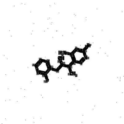 CN(c1cnc(Br)cc1N)C(O)Cc1ccccc1F